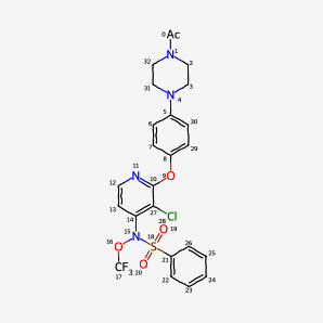 CC(=O)N1CCN(c2ccc(Oc3nccc(N(OC(F)(F)F)S(=O)(=O)c4ccccc4)c3Cl)cc2)CC1